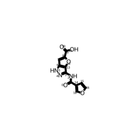 O=C(Nc1n[nH]c2cc(C(=O)O)oc12)c1ccoc1